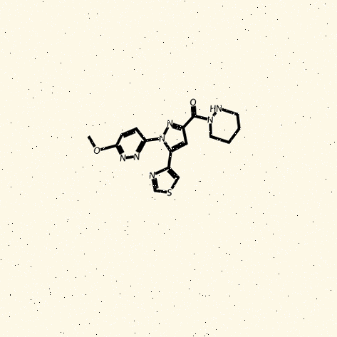 COc1ccc(-n2nc(C(=O)N3CCCCN3)cc2-c2cscn2)nn1